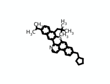 CC(C)c1ccc2c(CC(C)(C)C)c3c(cc2c1)-c1nccc2c1c(cc1cc(CC4CCCC4)ccc12)S3